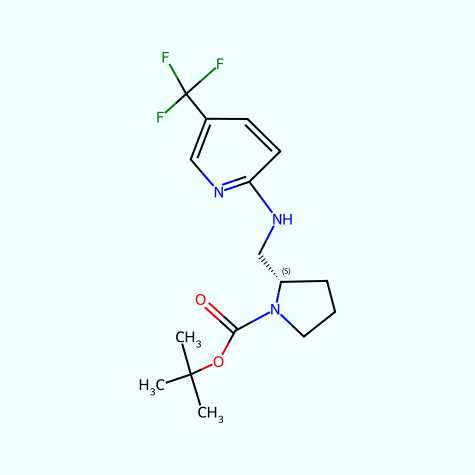 CC(C)(C)OC(=O)N1CCC[C@H]1CNc1ccc(C(F)(F)F)cn1